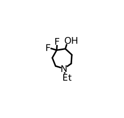 CCN1CCC(O)C(F)(F)CC1